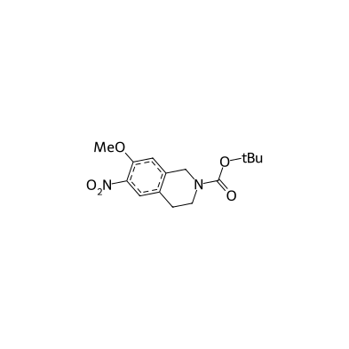 COc1cc2c(cc1[N+](=O)[O-])CCN(C(=O)OC(C)(C)C)C2